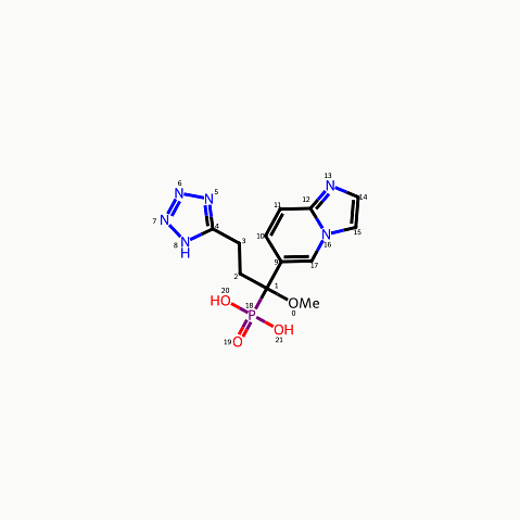 COC(CCc1nnn[nH]1)(c1ccc2nccn2c1)P(=O)(O)O